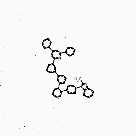 Cc1nc2ccccc2n1-c1ccc(-c2ccccc2-c2cccc(-c3cccc(-c4cc(-c5ccccc5)cc(-c5ccccc5)n4)c3)c2)cc1